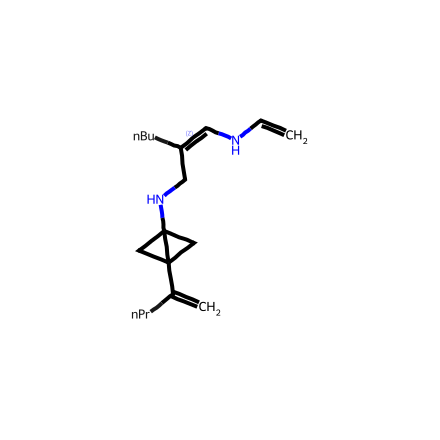 C=CN/C=C(/CCCC)CNC12CC1(C(=C)CCC)C2